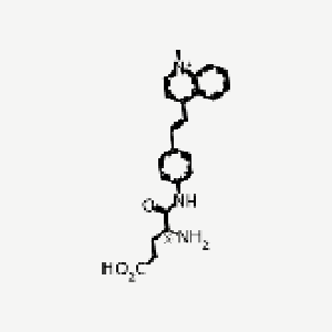 C[n+]1ccc(C=Cc2ccc(NC(=O)[C@@H](N)CCC(=O)O)cc2)c2ccccc21